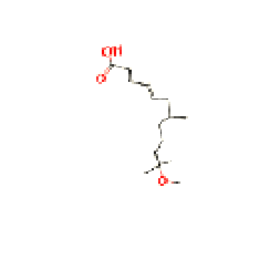 COC(C)(C)CCC[C@H](C)C/C=C/C=C/C(=O)O